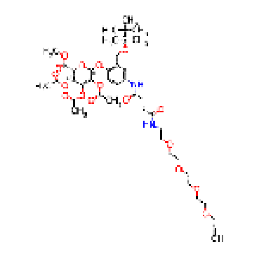 C#CCOCCOCCOCCOCCNC(=O)CCC(=O)Nc1ccc(O[C@@H]2OC(C(=O)OC)[C@@H](OC(C)=O)C(OC(C)=O)=C2OC(C)=O)c(CO[Si](C)(C)C(C)(C)C)c1